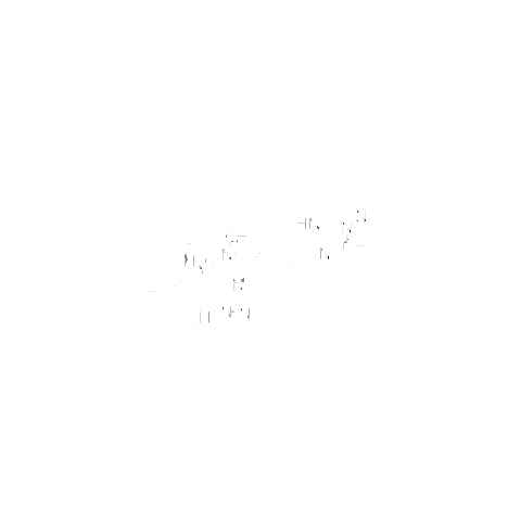 CC(C)C(CC=O)c1nnc2cc(-c3ccnc(Nc4ccnn4C)c3)cc(N(C)C)n12